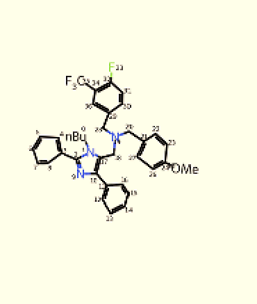 CCCCn1c(-c2ccccc2)nc(-c2ccccc2)c1CN(Cc1ccc(OC)cc1)Cc1ccc(F)c(C(F)(F)F)c1